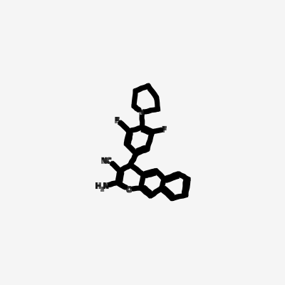 N#CC1=C(N)Oc2cc3ccccc3cc2C1c1cc(F)c(N2CCCCC2)c(F)c1